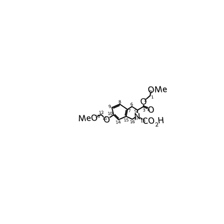 COCOC(=O)C1Cc2ccc(OCOC)cc2CN1C(=O)O